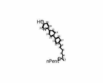 CCCCCOC(C)CCCC=Cc1ccc(-c2ccc(-c3ccc(O)cn3)cc2)cc1